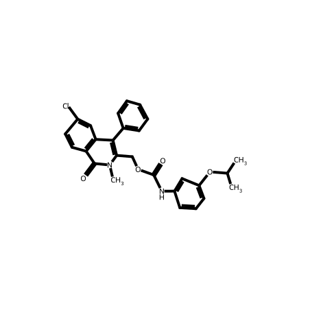 CC(C)Oc1cccc(NC(=O)OCc2c(-c3ccccc3)c3cc(Cl)ccc3c(=O)n2C)c1